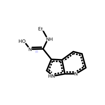 CCN/C(=N\O)c1c[nH]c2ncccc12